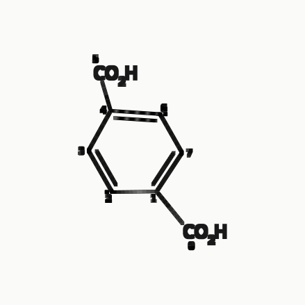 O=C(O)c1[c]cc(C(=O)O)[c]c1